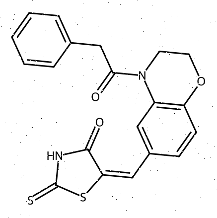 O=C1NC(=S)SC1=Cc1ccc2c(c1)N(C(=O)Cc1ccccc1)CCO2